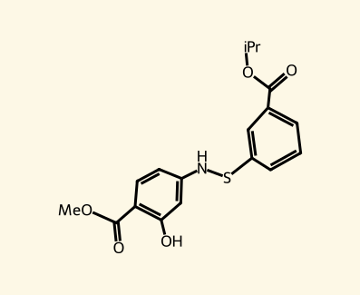 COC(=O)c1ccc(NSc2cccc(C(=O)OC(C)C)c2)cc1O